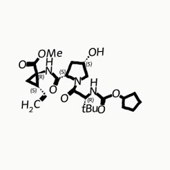 C=C[C@@H]1C[C@]1(NC(=O)[C@@H]1C[C@H](O)CN1C(=O)[C@H](NC(=O)OC1CCCC1)C(C)(C)C)C(=O)OC